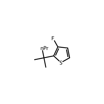 CCCC(C)(C)c1sccc1F